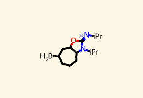 BC1CCCC2C(C1)O/C(=N/C(C)C)N2C(C)C